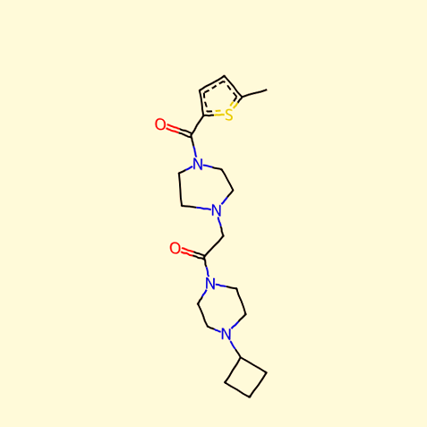 Cc1ccc(C(=O)N2CCN(CC(=O)N3CCN(C4CCC4)CC3)CC2)s1